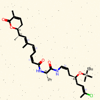 CC1=CC[C@@H]([C@@H](C)/C=C(C)/C=C\C=C/C(=O)N[C@H](C(=O)N/C=C\C[C@H](C/C=C(\C)Cl)O[Si](C)(C)C(C)(C)C)C(C)C)OC1=O